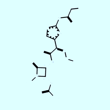 CON=C(C(=O)N[C@H]1C(=O)N(C)[C@H]1NC(C)=O)c1csc(NC(=O)CCl)n1